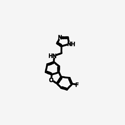 Fc1ccc2oc3ccc(NCc4cnc[nH]4)cc3c2c1